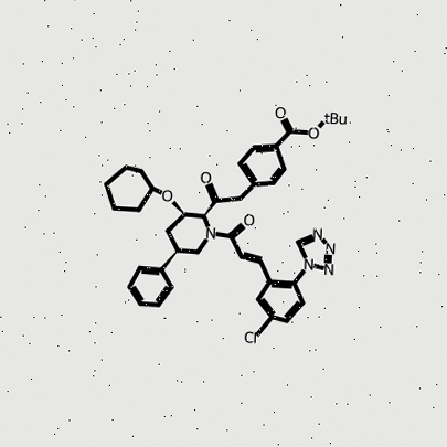 CC(C)(C)OC(=O)c1ccc(CC(=O)[C@@H]2[C@H](OC3CCCCC3)C[C@H](c3ccccc3)CN2C(=O)/C=C/c2cc(Cl)ccc2-n2cnnn2)cc1